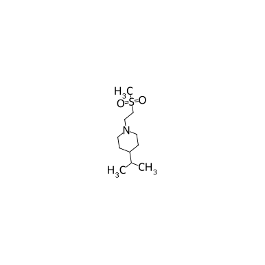 CC(C)C1CCN(CCS(C)(=O)=O)CC1